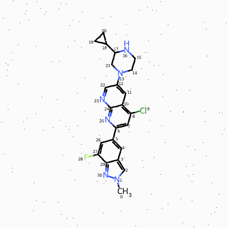 Cn1cc2cc(-c3cc(Cl)c4cc(N5CCNC(C6CC6)C5)cnc4n3)cc(F)c2n1